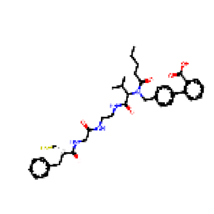 CCCCC(=O)N(Cc1ccc(-c2ccccc2C(=O)O)cc1)C(C(=O)NCCNC(=O)CNC(=O)[C@@H](CS)Cc1ccccc1)C(C)C